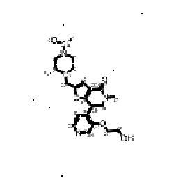 C[C@@H]1CN([S+](C)[O-])CCN1Cc1cc2c(=O)n(C)cc(-c3ccncc3OCCO)c2o1